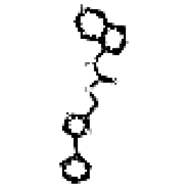 O=C(NCc1nc(-c2ccccc2)cs1)Nc1cccc2cnccc12